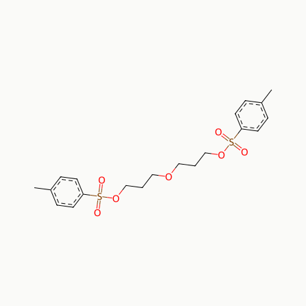 Cc1ccc(S(=O)(=O)OCCCOCCCOS(=O)(=O)c2ccc(C)cc2)cc1